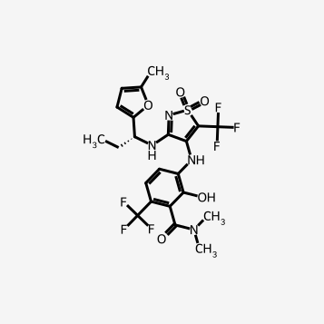 CC[C@@H](NC1=NS(=O)(=O)C(C(F)(F)F)=C1Nc1ccc(C(F)(F)F)c(C(=O)N(C)C)c1O)c1ccc(C)o1